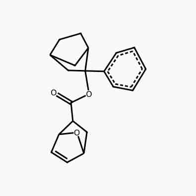 O=C(OC1(c2ccccc2)CC2CCC1C2)C1CC2C=CC1O2